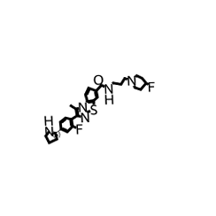 Cc1c(-c2ccc([C@@H]3CCCN3)cc2F)nc2sc3cc(C(=O)NCCCN4CCC(F)CC4)ccc3n12